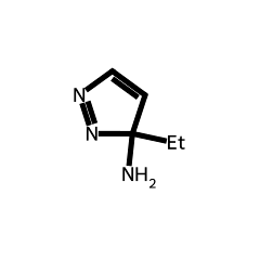 [CH2]CC1(N)C=CN=N1